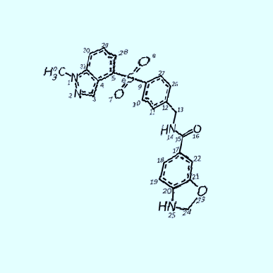 Cn1ncc2c(S(=O)(=O)c3ccc(CNC(=O)c4ccc5c(c4)OCN5)cc3)cccc21